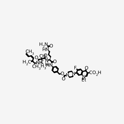 C=C(/C=C\C=C/C)[C@@H](C)NC(=O)C(C)(C)C(=O)N[C@@H](CCCNC(N)=O)C(=O)Nc1ccc(COC(=O)N2CCN(c3cc4c(cc3F)c(=O)c(C(=O)O)cn4CC)CC2)cc1